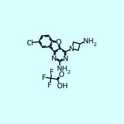 Nc1nc(N2CC(N)C2)c2oc3ccc(Cl)cc3c2n1.O=C(O)C(F)(F)F